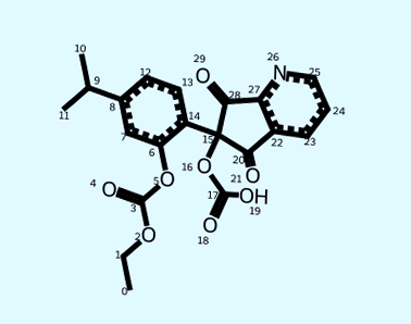 CCOC(=O)Oc1cc(C(C)C)ccc1C1(OC(=O)O)C(=O)c2cccnc2C1=O